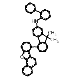 CC1(C)c2cc(Nc3ccccc3-c3ccccc3)ccc2-c2c(-c3cccc4oc5c6ccccc6ccc5c34)cccc21